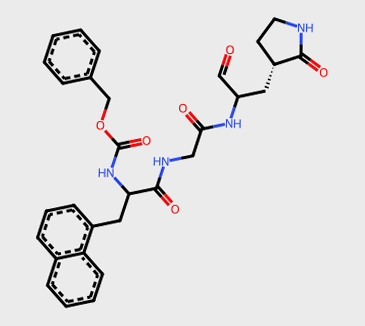 O=CC(C[C@@H]1CCNC1=O)NC(=O)CNC(=O)C(Cc1cccc2ccccc12)NC(=O)OCc1ccccc1